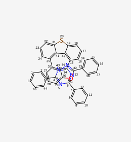 c1ccc(-c2nc(-c3ccccc3)nc(-c3cccc4sc5cccc(-c6cccc7oc(-c8ccccc8)nc67)c5c34)n2)cc1